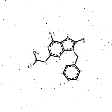 CC(C)Sc1nc(N)c2nc(Br)n(Cc3ccccc3)c2n1